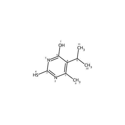 Cc1nc(S)nc(O)c1C(C)C